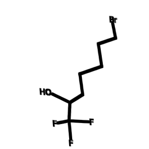 OC(CCCCCBr)C(F)(F)F